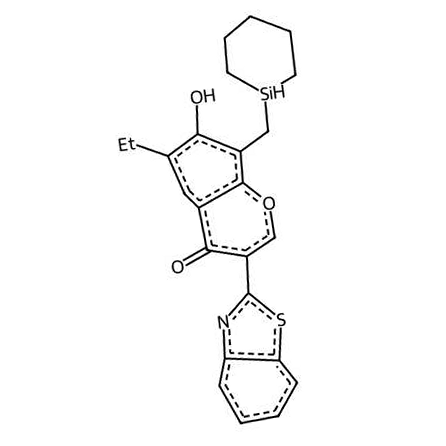 CCc1cc2c(=O)c(-c3nc4ccccc4s3)coc2c(C[SiH]2CCCCC2)c1O